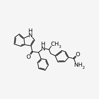 CC(Cc1ccc(C(N)=O)cc1)NC(C(=O)c1c[nH]c2ccccc12)c1ccccc1